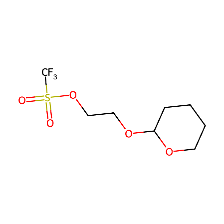 O=S(=O)(OCCOC1CCCCO1)C(F)(F)F